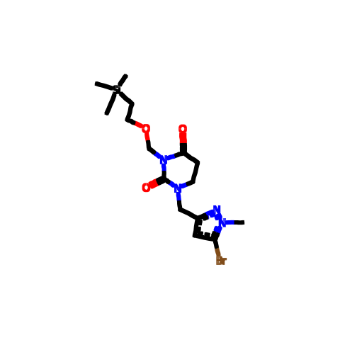 Cn1nc(CN2CCC(=O)N(COCC[Si](C)(C)C)C2=O)cc1Br